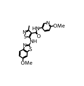 COc1ccc2nc(Nc3snc(C)c3C(=O)Nc3ccc(OC)nc3)sc2c1